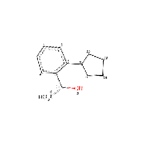 O=C(O)[C@@H](O)c1ccccc1C1CCCC1